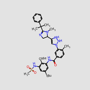 COc1c(NC(=O)c2ccc(C)c(N3C=C(C4CN=C(C(C)(C)c5ccccc5)N4C)NN3)c2)cc(C(C)(C)C)cc1NS(C)(=O)=O